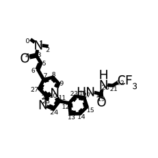 CN(C)C(=O)/C=C/c1ccn2c(-c3cccc(NC(=O)NCC(F)(F)F)c3)cnc2c1